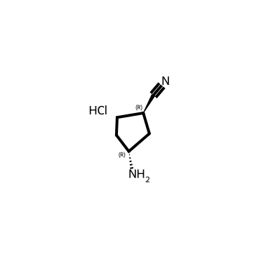 Cl.N#C[C@@H]1CC[C@@H](N)C1